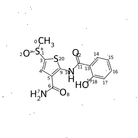 C[S+]([O-])c1cc(C(N)=O)c(NC(=O)c2ccccc2O)s1